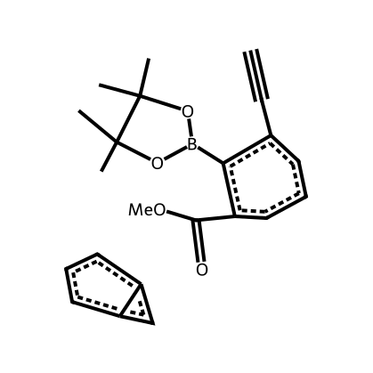 C#Cc1cccc(C(=O)OC)c1B1OC(C)(C)C(C)(C)O1.c1cc2cc-2c1